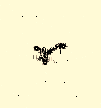 CNN(C(=O)CN1Cc2ccc(OCCCC(=O)NN3CCc4ccccc43)cc2N=C1NC(=O)OCc1ccccc1)c1ccccc1C